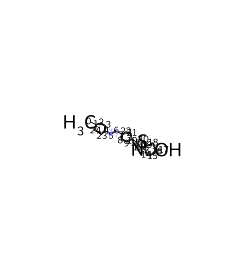 Cc1ccc(/C=C/c2ccc(-c3nc4ccc(O)cc4s3)cc2)cc1